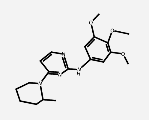 COc1cc(Nc2nccc(N3CCCCC3C)n2)cc(OC)c1OC